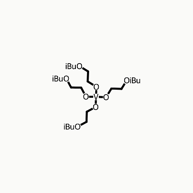 CC(C)COCC[O][V]([O]CCOCC(C)C)([O]CCOCC(C)C)[O]CCOCC(C)C